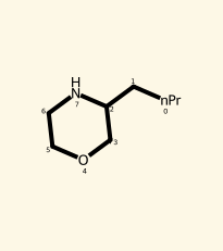 CCCCC1[CH]OCCN1